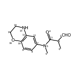 CC(C=O)C(=O)N(C)c1ccc2c(c1)NCCO2